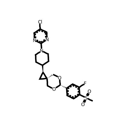 CS(=O)(=O)c1ccc([C@H]2OC[C@]3(CO2)C[C@H]3C2CCN(c3ncc(Cl)cn3)CC2)cc1F